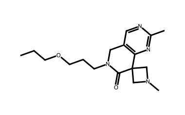 CCCOCCCN1Cc2cnc(C)nc2C2(CN(C)C2)C1=O